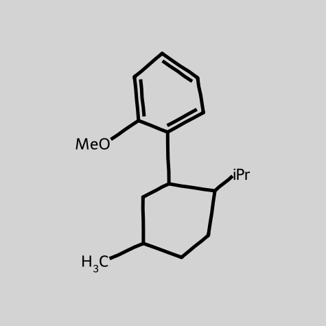 COc1ccccc1C1CC(C)CCC1C(C)C